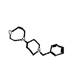 c1ccc(CN2CCC(N3CCOCC3)CC2)cc1